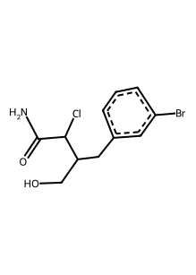 NC(=O)C(Cl)C(CO)Cc1cccc(Br)c1